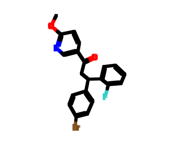 COc1ccc(C(=O)CC(c2ccc(Br)cc2)c2ccccc2F)cn1